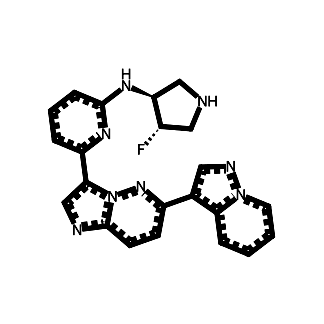 F[C@H]1CNC[C@@H]1Nc1cccc(-c2cnc3ccc(-c4cnn5ccccc45)nn23)n1